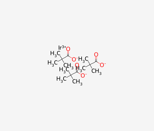 CC(C)(C)C(=O)[O-].CC(C)(C)C(=O)[O-].CC(C)(C)C(=O)[O-].[Ir+3]